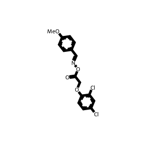 COc1ccc(/C=N/OC(=O)COc2ccc(Cl)cc2Cl)cc1